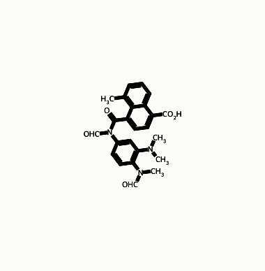 Cc1cccc2c(C(=O)O)ccc(C(=O)N(C=O)c3ccc(N(C)C=O)c(N(C)C)c3)c12